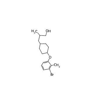 Cc1c(Br)cccc1OC1CCC(CC(C)CO)CC1